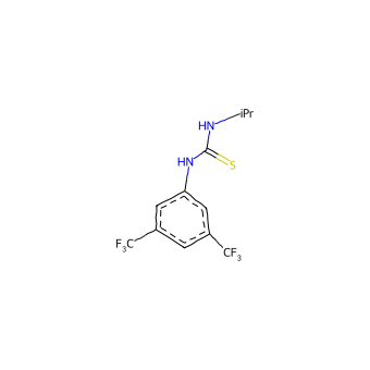 CC(C)NC(=S)Nc1cc(C(F)(F)F)cc(C(F)(F)F)c1